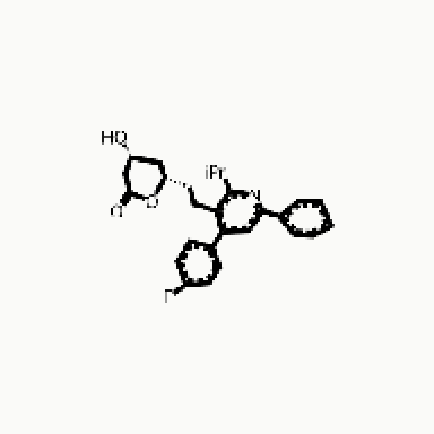 CC(C)c1nc(-c2ccccc2)cc(-c2ccc(F)cc2)c1CC[C@H]1C[C@@H](O)CC(=O)O1